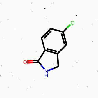 O=C1NCc2cc(Cl)ccc21